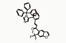 O=C(C=Cc1ccccc1-c1cncn1C(c1ccccc1)(c1ccccc1)c1ccccc1)c1cc2ccoc2cc1C(F)(F)F